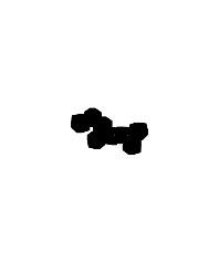 C1=Cc2c(n(-c3ccccc3)c3ccc(-c4ccc5c(c4)c4ccc(-c6cccc(-c7ccccc7)c6)cc4n5-c4ccccc4)cc23)CC1